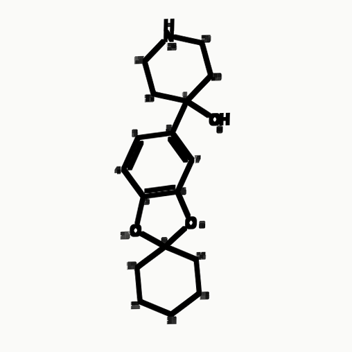 OC1(c2ccc3c(c2)OC2(CCCCC2)O3)CCNCC1